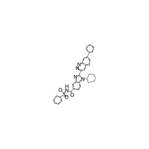 O=C(NS(=O)(=O)c1ccccc1)c1ccc2c(c1)nc(-c1cc3ccc(-c4ccccc4)cc3nn1)n2C1CCCCC1